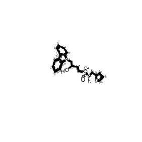 O=S(=O)(CCC(O)Cn1c2ccccc2c2ccccc21)NCc1ccco1